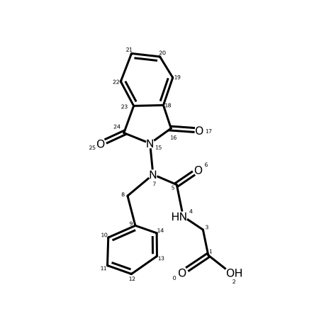 O=C(O)CNC(=O)N(Cc1ccccc1)N1C(=O)c2ccccc2C1=O